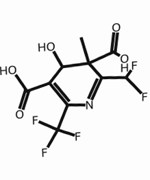 CC1(C(=O)O)C(C(F)F)=NC(C(F)(F)F)=C(C(=O)O)C1O